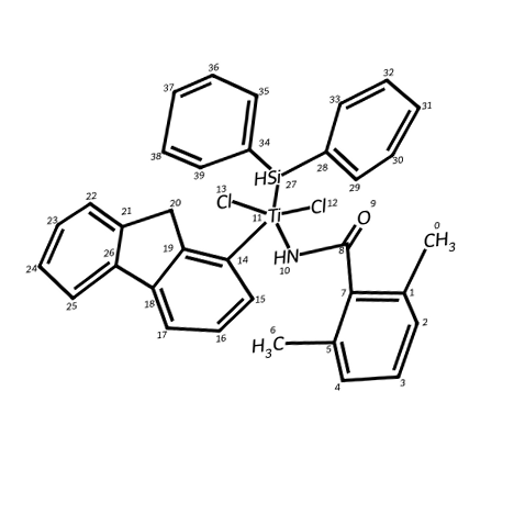 Cc1cccc(C)c1C(=O)[NH][Ti]([Cl])([Cl])([c]1cccc2c1Cc1ccccc1-2)[SiH](c1ccccc1)c1ccccc1